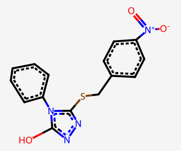 O=[N+]([O-])c1ccc(CSc2nnc(O)n2-c2ccccc2)cc1